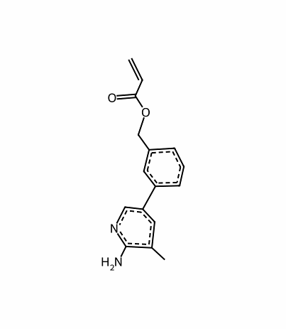 C=CC(=O)OCc1cccc(-c2cnc(N)c(C)c2)c1